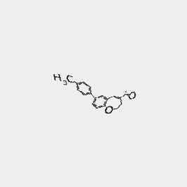 Cc1ccc(-c2ccc3c(c2)C=C([C]=O)CCO3)cc1